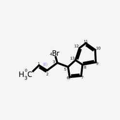 C/C=C/C(Br)C1[C]=Cc2ccccc21